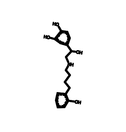 Oc1ccc(C(O)CNCCCCc2ccccc2O)cc1O